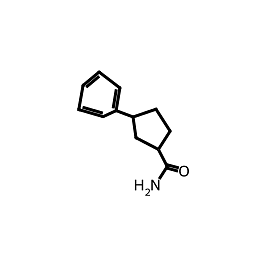 NC(=O)C1CCC(c2ccccc2)C1